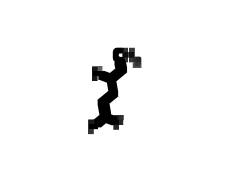 C=CC(F)CC=C(F)F